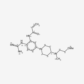 C=CC(=O)Nc1cc(N2CCC(N(C)CCOC)CC2)ccc1NC(=N)N